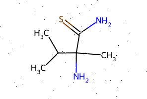 CC(C)C(C)(N)C(N)=S